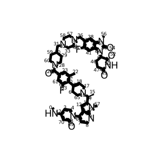 CNc1ccn(-c2ccnc3c2cc([C@H](C)N2CC=C(c4c(C)cc(C(=O)N5CCC(CN6CCN(Cc7cc8c(cc7F)n(C7CCC(=O)NC7=O)c(=O)n8C)CC6)CC5)cc4F)CC2)n3C)c(=O)c1